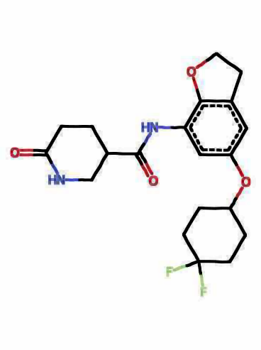 O=C1CCC(C(=O)Nc2cc(OC3CCC(F)(F)CC3)cc3c2OCC3)CN1